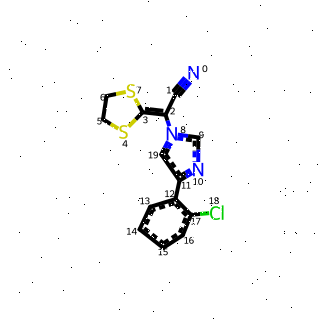 N#CC(=C1SCCS1)n1cnc(-c2ccccc2Cl)c1